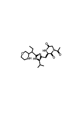 CCC(c1nc(/C=C2\NC(=O)CN(C(C)=O)C2=O)c(C(C)C)[nH]1)C1COCCN1